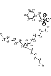 CCCCCCCC[N+](C)(CCCCCCCC)CCCCCCCC.O=S(=O)([O-])C=Cc1ccccc1